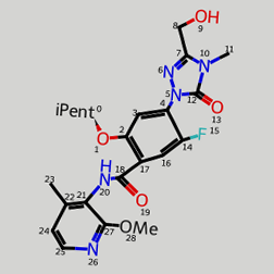 CCC[C@H](C)Oc1cc(-n2nc(CO)n(C)c2=O)c(F)cc1C(=O)Nc1c(C)ccnc1OC